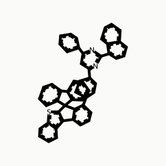 c1ccc(-c2cc(-c3ccc(-c4cccc5c4C4(c6ccccc6-c6ccccc64)c4sc6ccccc6c4-5)cc3)nc(-c3cccc4ccccc34)n2)cc1